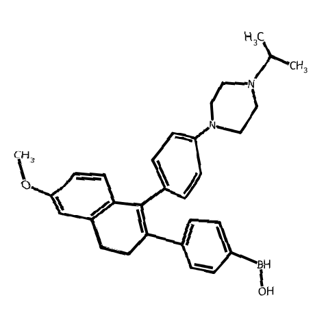 COc1ccc2c(c1)CCC(c1ccc(BO)cc1)=C2c1ccc(N2CCN(C(C)C)CC2)cc1